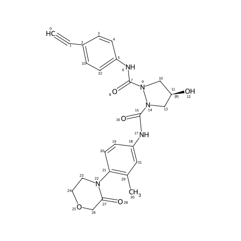 C#Cc1ccc(NC(=O)N2C[C@@H](O)CN2C(=O)Nc2ccc(N3CCOCC3=O)c(C)c2)cc1